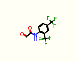 O=[C]C(=O)Nc1ccc(C(F)(F)F)cc1C(F)(F)F